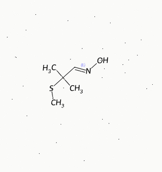 CSC(C)(C)/C=N/O